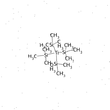 C[Si](C)(C)[Ti]([Si](C)(C)C)([Si](C)(C)C)[Si](C)(C)C